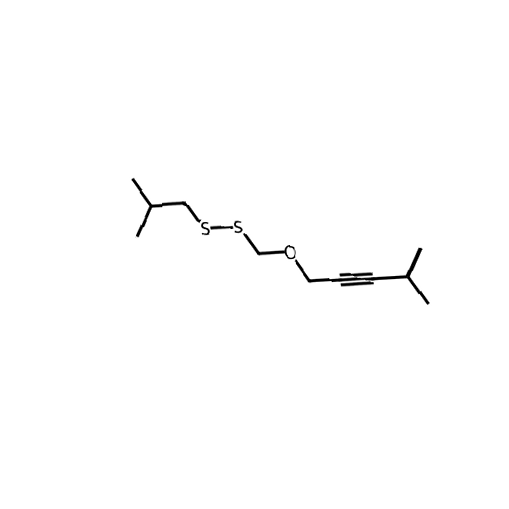 CC(C)C#CCOCSSCC(C)C